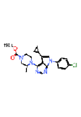 C[C@H]1CN(C(=O)OC(C)(C)C)CCN1c1ncnc2c1c(C1CC1)cn2-c1ccc(Cl)cc1